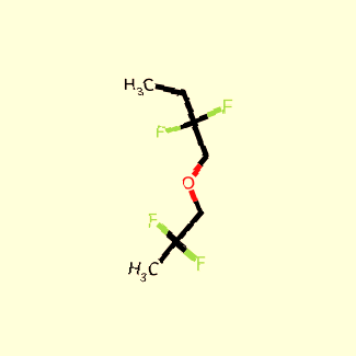 CCC(F)(F)COCC(C)(F)F